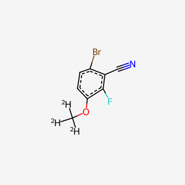 [2H]C([2H])([2H])Oc1ccc(Br)c(C#N)c1F